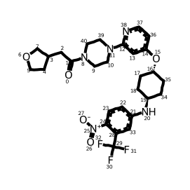 O=C(CC1CCOC1)N1CCN(c2cc(O[C@H]3CC[C@H](Nc4ccc([N+](=O)[O-])c(C(F)(F)F)c4)CC3)ccn2)CC1